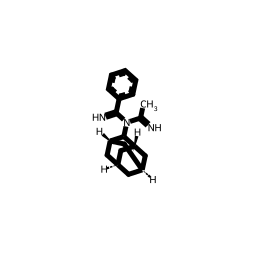 CC(=N)N(C(=N)c1ccccc1)C1[C@H]2C[C@H]3C[C@H](C2)C[C@@H]1C3